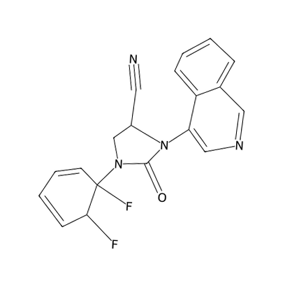 N#CC1CN(C2(F)C=CC=CC2F)C(=O)N1c1cncc2ccccc12